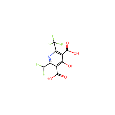 O=C(O)c1c(C(F)F)nc(C(F)(F)F)c(C(=O)O)c1O